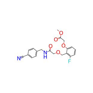 COC(=O)COc1cccc(F)c1COCC(=O)NCc1ccc(C#N)cc1